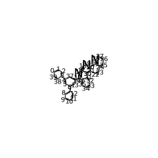 c1ccc(-c2cc(-c3ccccc3)cc(-c3nc4cnc5c(ccc6cccnc65)c4c4ccccc34)c2)cc1